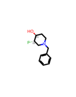 O[C@H]1CCN(Cc2ccccc2)C[C@@H]1F